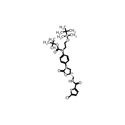 CC(C)(C)OC(=O)N(CCO[Si](C)(C)C(C)(C)C)c1ccc(N2C[C@H](CNC(=O)c3ccc(Cl)s3)OC2=O)cc1